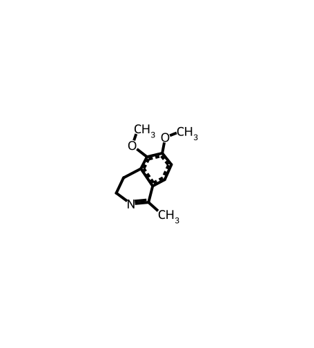 COc1ccc2c(c1OC)CCN=C2C